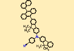 CC1(C)c2ccccc2-c2ccc(N(c3ccc(C#N)cc3)c3ccc4c(c3)C(C)(C)c3cc(-c5c6ccccc6c(-c6cccc7ccccc67)c6ccccc56)ccc3-4)cc21